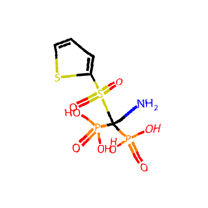 NC(P(=O)(O)O)(P(=O)(O)O)S(=O)(=O)c1cccs1